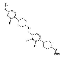 CCCCOC1CCC(c2ccc(COC3CCC(c4ccc(OCC)cc4F)CC3)c(F)c2F)CC1